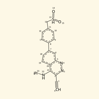 C#Cc1nnc2cc(-c3ccc(C[SH](=O)=O)cc3)ccc2c1NC(C)C